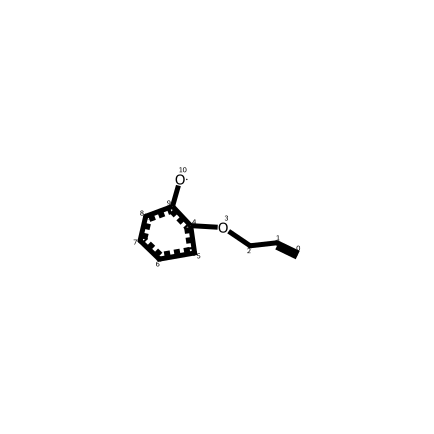 C=CCOc1ccccc1[O]